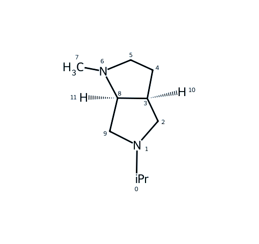 CC(C)N1C[C@@H]2CCN(C)[C@@H]2C1